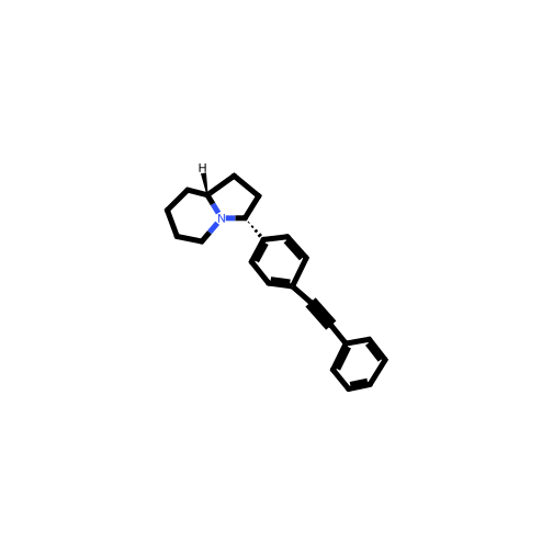 C(#Cc1ccc([C@H]2CC[C@H]3CCCCN32)cc1)c1ccccc1